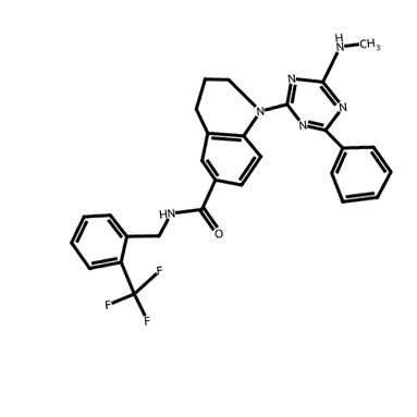 CNc1nc(-c2ccccc2)nc(N2CCCc3cc(C(=O)NCc4ccccc4C(F)(F)F)ccc32)n1